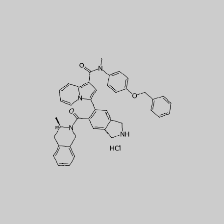 C[C@@H]1Cc2ccccc2CN1C(=O)c1cc2c(cc1-c1cc(C(=O)N(C)c3ccc(OCc4ccccc4)cc3)c3ccccn13)CNC2.Cl